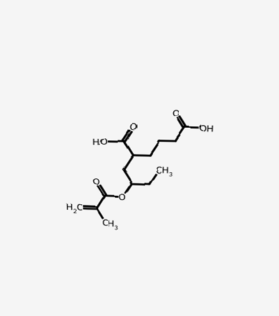 C=C(C)C(=O)OC(CC)CC(CCCC(=O)O)C(=O)O